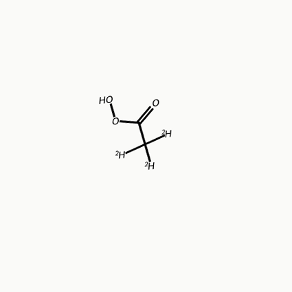 [2H]C([2H])([2H])C(=O)OO